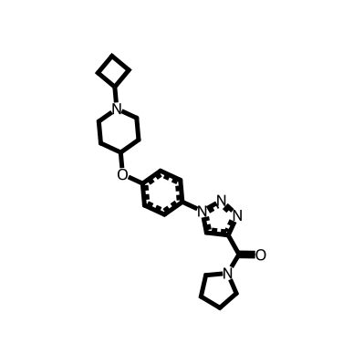 O=C(c1cn(-c2ccc(OC3CCN(C4CCC4)CC3)cc2)nn1)N1CCCC1